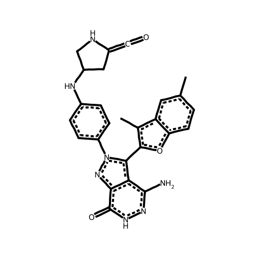 Cc1ccc2oc(-c3c4c(N)n[nH]c(=O)c4nn3-c3ccc(NC4CNC(=C=O)C4)cc3)c(C)c2c1